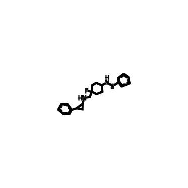 FC1(CNC2CC2c2ccccc2)CCC(NSc2ccccc2)CC1